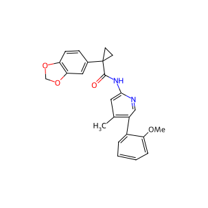 COc1ccccc1-c1cnc(NC(=O)C2(c3ccc4c(c3)OCO4)CC2)cc1C